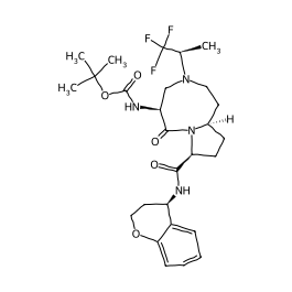 C[C@@H](N1CC[C@H]2CC[C@@H](C(=O)N[C@@H]3CCOc4ccccc43)N2C(=O)[C@@H](NC(=O)OC(C)(C)C)C1)C(F)(F)F